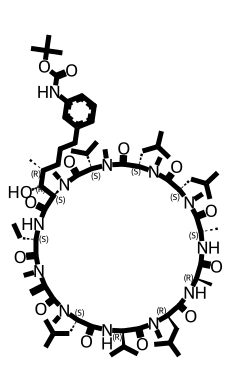 C=C1C(=O)N(C)[C@@H](CC(C)C)C(=O)N[C@H](C(C)C)C(=O)N(C)[C@H](CC(C)C)C(=O)N[C@H](C)C(=O)N[C@@H](C)C(=O)N(C)[C@@H](CC(C)C)C(=O)N(C)[C@@H](CC(C)C)C(=O)N(C)[C@@H](C(C)C)C(=O)N(C)[C@@H]([C@H](O)[C@H](C)CCCc2cccc(NC(=O)OC(C)(C)C)c2)C(=O)N[C@@H](CC)C(=O)N1C